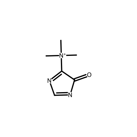 C[N+](C)(C)C1=NC=NC1=O